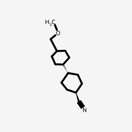 COCC1CCC([C@H]2CC[C@H](C#N)CC2)CC1